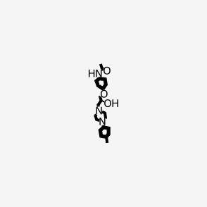 CC(=O)Nc1ccc(OC[C@@H](O)CN2CCN(c3ccc(C)cc3)CC2)cc1